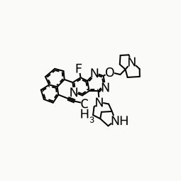 CC#Cc1cccc2cccc(-c3ncc4c(N5CCC6CNC(C6)C5)nc(OCC56CCCN5CCC6)nc4c3F)c12